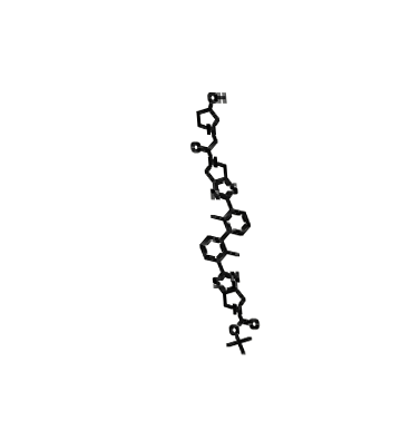 Cc1c(-c2nc3c(s2)CN(C(=O)CN2CCC(O)C2)C3)cccc1-c1cccc(-c2nc3c(s2)CN(C(=O)OC(C)(C)C)C3)c1C